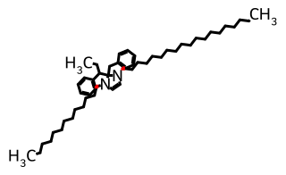 CCCCCCCCCCCCCCCCCCCN1C=CN(CCCCCCCCCCCCC)C1(Cc1ccccc1)C(CC)c1ccccc1